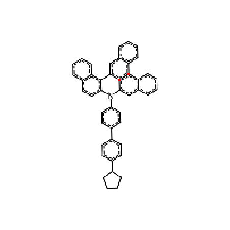 c1ccc2cc(-c3c(N(c4ccc(-c5ccc(C6CCCC6)cc5)cc4)c4ccc5ccccc5c4)ccc4ccccc34)ccc2c1